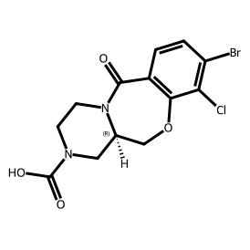 O=C(O)N1CCN2C(=O)c3ccc(Br)c(Cl)c3OC[C@H]2C1